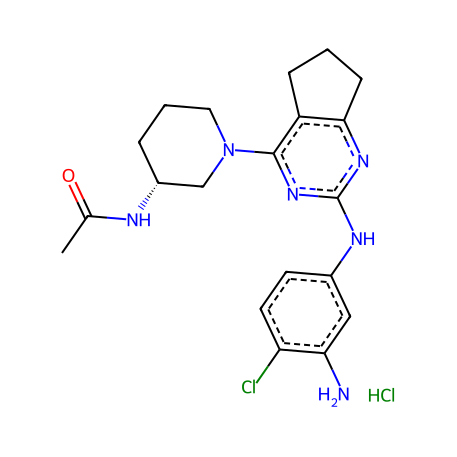 CC(=O)N[C@@H]1CCCN(c2nc(Nc3ccc(Cl)c(N)c3)nc3c2CCC3)C1.Cl